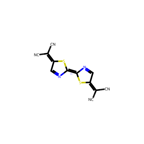 N#CC(C#N)=c1cn/c(=c2/ncc(=C(C#N)C#N)s2)s1